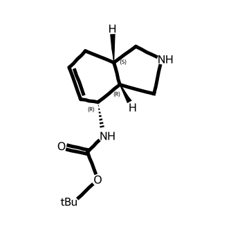 CC(C)(C)OC(=O)N[C@@H]1C=CC[C@@H]2CNC[C@@H]21